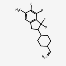 C=CC1CCC(C2Cc3cc(C)c(F)c(F)c3C2(F)F)CC1